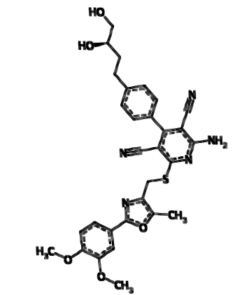 COc1ccc(-c2nc(CSc3nc(N)c(C#N)c(-c4ccc(CC[C@@H](O)CO)cc4)c3C#N)c(C)o2)cc1OC